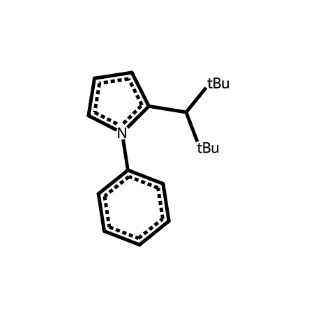 CC(C)(C)C(c1cccn1-c1ccccc1)C(C)(C)C